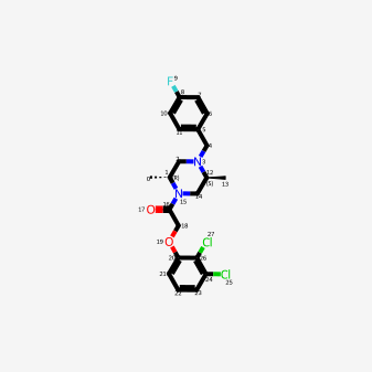 C[C@@H]1CN(Cc2ccc(F)cc2)[C@@H](C)CN1C(=O)COc1cccc(Cl)c1Cl